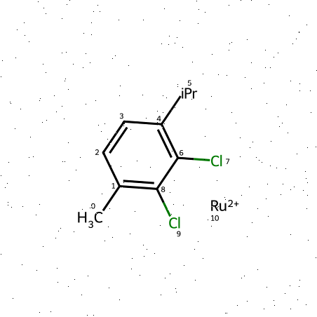 Cc1ccc(C(C)C)c(Cl)c1Cl.[Ru+2]